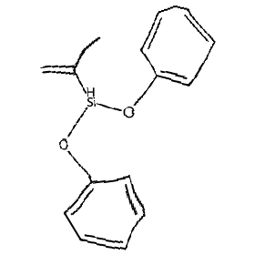 C=C(C)[SiH](Oc1ccccc1)Oc1ccccc1